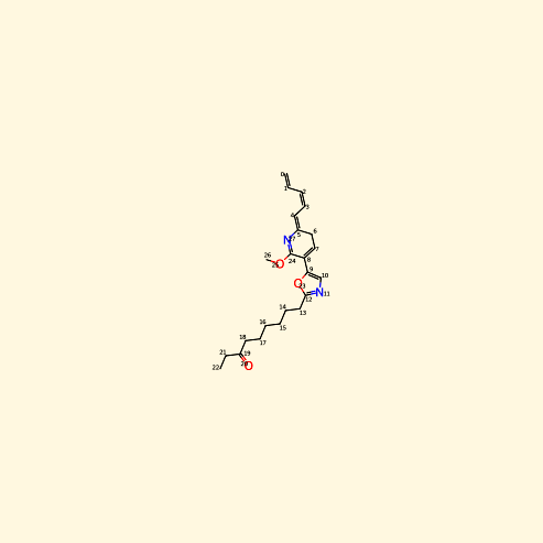 C=C/C=C\C=C1/CC=C(c2cnc(CCCCCCC(=O)CC)o2)C(OC)=N1